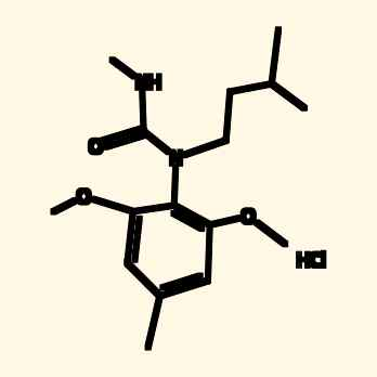 CNC(=O)N(CCC(C)C)c1c(OC)cc(C)cc1OC.Cl